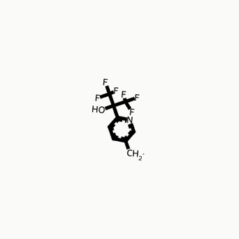 [CH2]c1ccc(C(O)(C(F)(F)F)C(F)(F)F)nc1